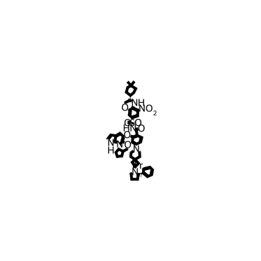 CC(C)c1ccccc1[C@H]1CCCN1C1CC2(CCN(c3ccc(C(=O)NS(=O)(=O)c4cc5c(c([N+](=O)[O-])c4)N[C@@H](C4CCC(C)(C)CC4)CO5)c(Oc4cc5cc[nH]c5nc4OCC4CCCC4)c3)CC2)C1